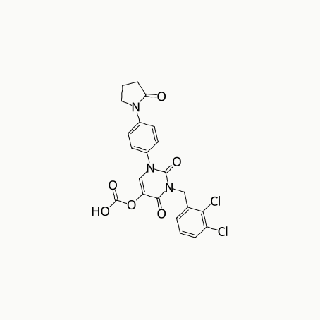 O=C(O)Oc1cn(-c2ccc(N3CCCC3=O)cc2)c(=O)n(Cc2cccc(Cl)c2Cl)c1=O